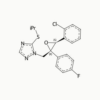 CC(C)Sc1ncnn1C[C@@]1(c2ccc(F)cc2)O[C@H]1c1ccccc1Cl